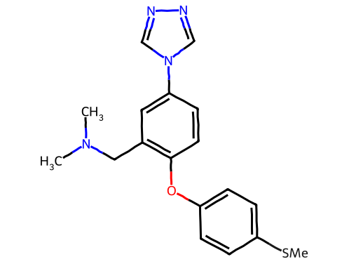 CSc1ccc(Oc2ccc(-n3cnnc3)cc2CN(C)C)cc1